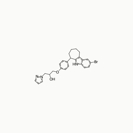 OC(COc1ccc(C2CCCCc3c2[nH]c2ccc(Br)cc32)cc1)Cn1cccn1